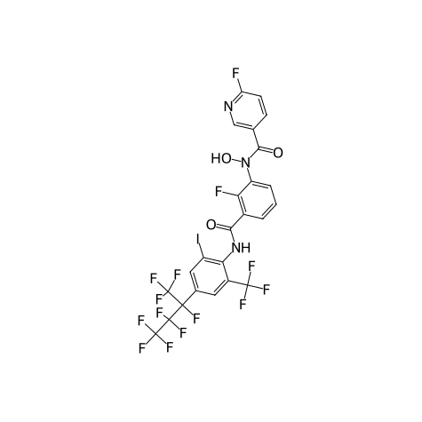 O=C(Nc1c(I)cc(C(F)(C(F)(F)F)C(F)(F)C(F)(F)F)cc1C(F)(F)F)c1cccc(N(O)C(=O)c2ccc(F)nc2)c1F